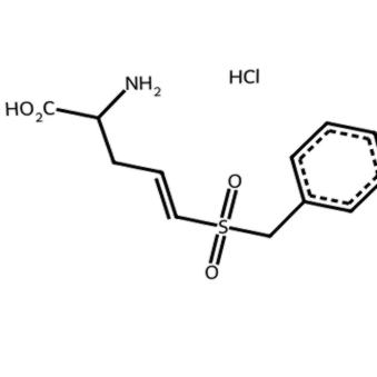 Cl.NC(CC=CS(=O)(=O)Cc1ccccc1)C(=O)O